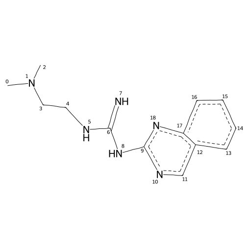 CN(C)CCNC(=N)Nc1ncc2ccccc2n1